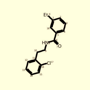 CCc1cccc(C(=O)NCCc2ccccc2Cl)c1